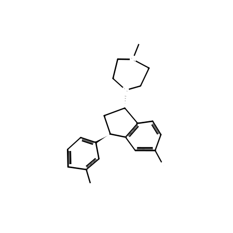 CN1CCN([C@H]2C[C@H](c3cccc(F)c3)c3cc(F)ccc32)CC1